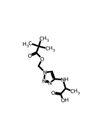 CC(Nc1cn(COC(=O)C(C)(C)C)nn1)C(=O)O